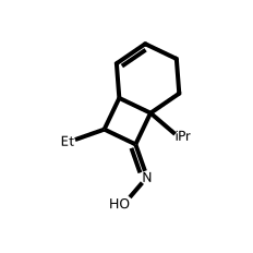 CCC1C(=NO)C2(C(C)C)CCC=CC12